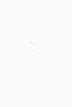 Cn1nc(C#N)cc1-c1sc(S(C)(=O)=O)c2c1CCC(F)(F)[C@H]2O